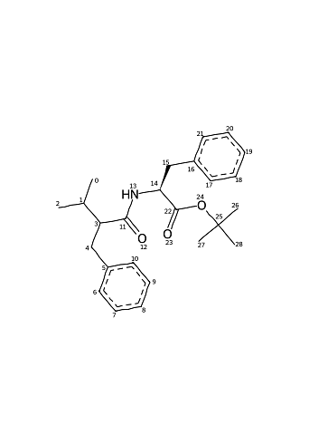 CC(C)C(Cc1ccccc1)C(=O)N[C@@H](Cc1ccccc1)C(=O)OC(C)(C)C